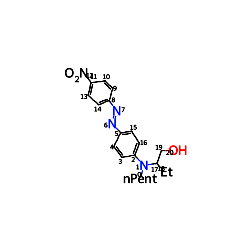 CCCCCN(c1ccc(N=Nc2ccc([N+](=O)[O-])cc2)cc1)C(CC)CO